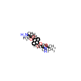 CCOc1c(OC(C)(C)CC(C)(C)N)c2cccc3c(OC)c(OC(C)(C)CC(C)(C)NC(=O)C(C)C)c4cccc1c4c32